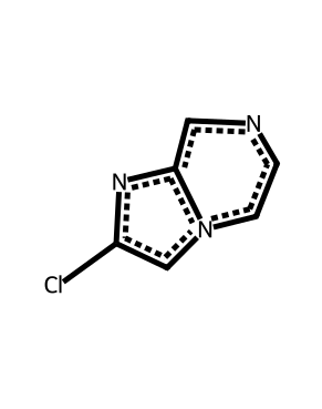 Clc1cn2ccncc2n1